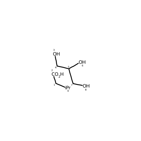 CC(C)CC(=O)O.OCC(O)CO